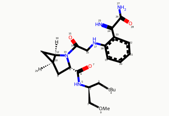 COC[C@H](CC(C)(C)C)NC(=O)[C@@H]1C[C@H]2C[C@H]2N1C(=O)CNc1ccccc1C(=N)C(N)=O